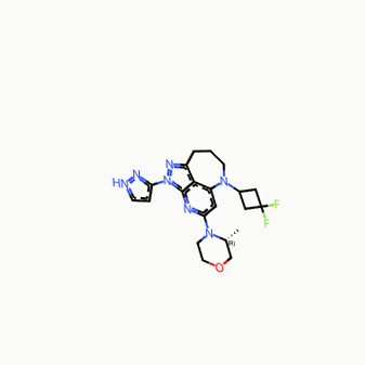 C[C@@H]1COCCN1c1cc2c3c(nn(-c4cc[nH]n4)c3n1)CCCN2C1CC(F)(F)C1